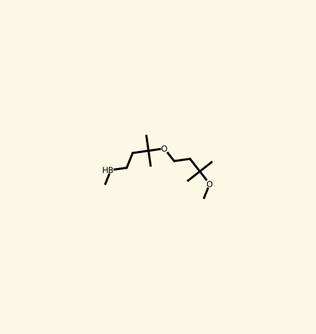 CBCCC(C)(C)OCCC(C)(C)OC